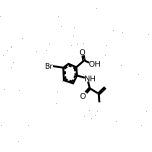 C=C(C)C(=O)Nc1ccc(Br)cc1C(=O)O